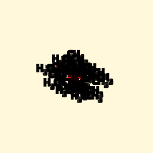 CC(C)(C)c1cc(-c2cc(C(C)(C)C)cc(C(C)(C)C)c2Op2oc3c(C(C)(C)C)cc(C(C)(C)C)cc3c3cc(C(C)(C)C)cc(C(C)(C)C)c3o2)c(O)c(C(C)(C)C)c1